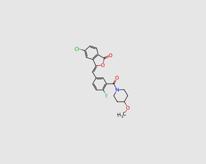 COC1CCN(C(=O)c2cc(C=C3OC(=O)c4ccc(Cl)cc43)ccc2F)CC1